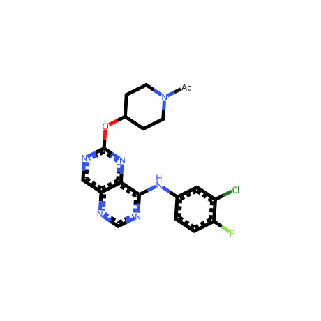 CC(=O)N1CCC(Oc2ncc3ncnc(Nc4ccc(F)c(Cl)c4)c3n2)CC1